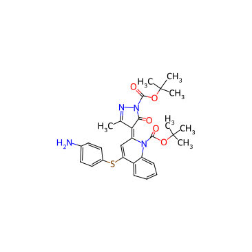 CC1=NN(C(=O)OC(C)(C)C)C(=O)/C1=C1/C=C(Sc2ccc(N)cc2)c2ccccc2N1C(=O)OC(C)(C)C